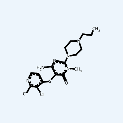 CCCN1CCN(c2nc(N)c(Sc3ccnc(Cl)c3Cl)c(=O)n2C)CC1